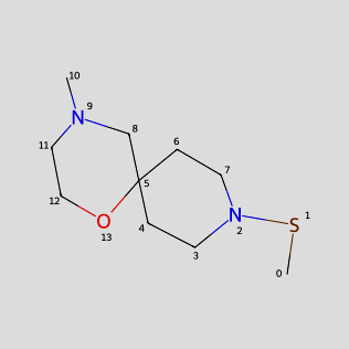 CSN1CCC2(CC1)CN(C)CCO2